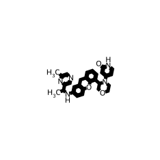 Cc1cncc(C(C)Nc2ccc3c(c2)Cc2cccc(C4COCCN4c4cc[nH]c(=O)c4)c2O3)n1